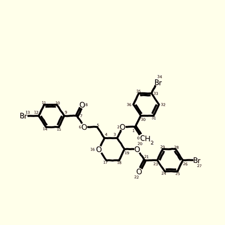 C=C(OC1C(COC(=O)c2ccc(Br)cc2)OCCC1OC(=O)c1ccc(Br)cc1)c1ccc(Br)cc1